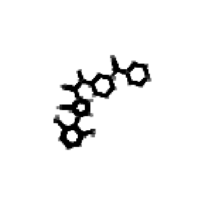 CN(C(=O)n1nnn(-c2c(Cl)cccc2Cl)c1=O)[C@@H]1CCC[C@@H](C(=O)N2CCOCC2)C1